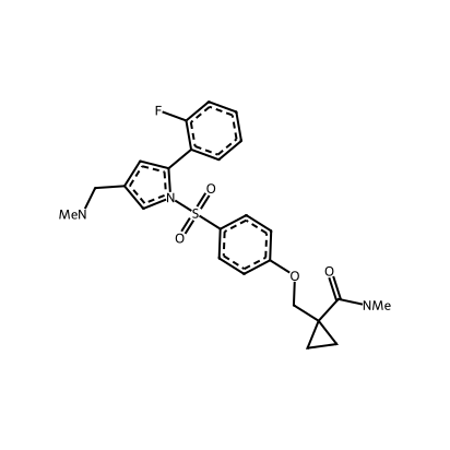 CNCc1cc(-c2ccccc2F)n(S(=O)(=O)c2ccc(OCC3(C(=O)NC)CC3)cc2)c1